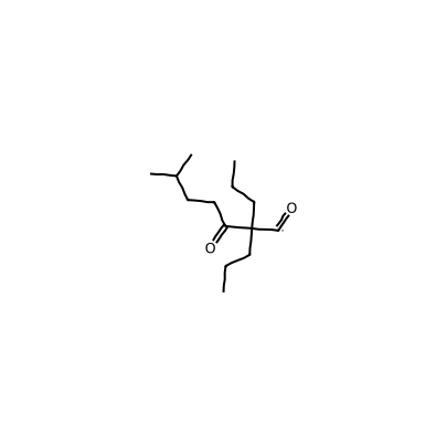 CCCC([C]=O)(CCC)C(=O)CCC(C)C